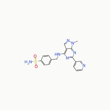 Cn1ncc2c(NCc3ccc(S(N)(=O)=O)cc3)nc(-c3cccnc3)nc21